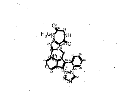 CCCc1nc2c(n1Cc1c3ccocc-3c(Br)c1-c1ccccc1-n1cnnn1)C(=O)NCC(=O)N2C